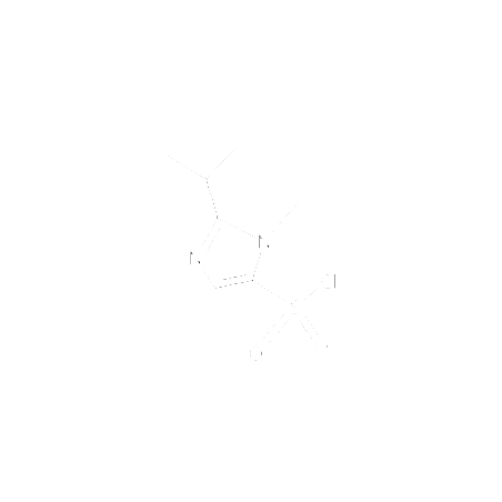 CC(C)c1ncc(S(=O)(=O)Cl)n1C